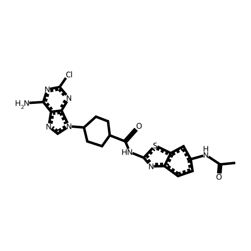 CC(=O)Nc1ccc2nc(NC(=O)C3CCC(n4cnc5c(N)nc(Cl)nc54)CC3)sc2c1